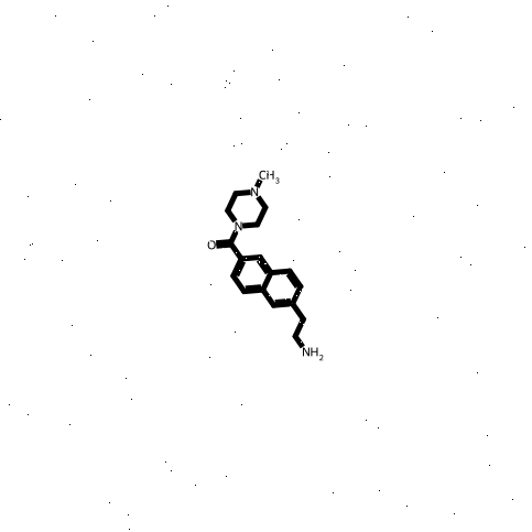 CN1CCN(C(=O)c2ccc3cc(CCN)ccc3c2)CC1